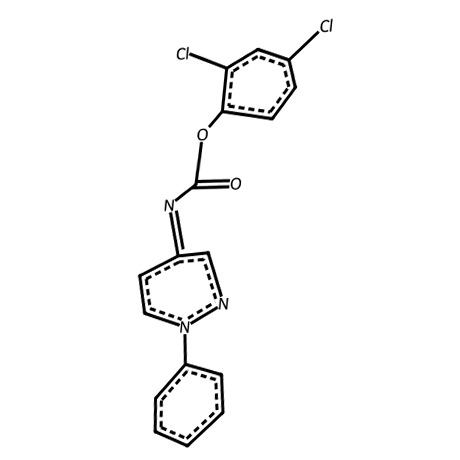 O=C(N=c1ccn(-c2ccccc2)nc1)Oc1ccc(Cl)cc1Cl